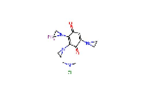 CN(C)Cl.O=C1C=C(N2CC2)C(=O)C(N2CC2)=C1N1CC1.P